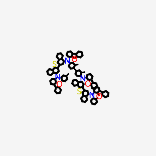 Cc1cccc(N(c2cc3c4cc(N(c5ccc(-c6ccc(N(c7cc8c9cc(N(c%10ccccc%10C)c%10cccc%11c%10oc%10ccccc%10%11)c%10ccccc%10c9sc8c8ccccc78)c7cccc8c7oc7ccccc78)c(C)c6)c(C)c5)c5cccc6c5oc5ccccc56)c5ccccc5c4sc3c3ccccc23)c2cccc3c2oc2ccccc23)c1